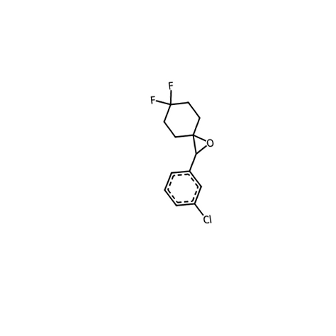 FC1(F)CCC2(CC1)OC2c1cccc(Cl)c1